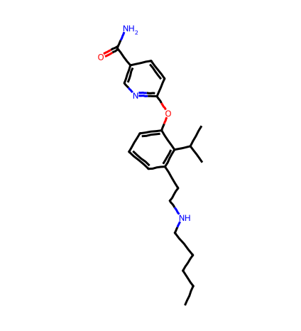 CCCCCNCCc1cccc(Oc2ccc(C(N)=O)cn2)c1C(C)C